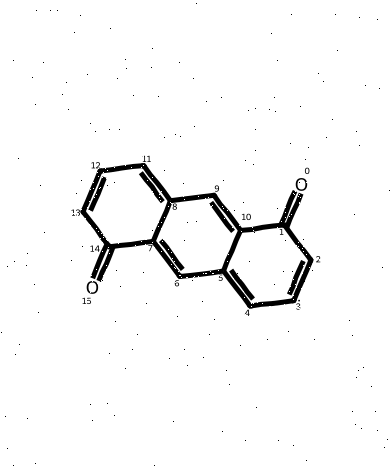 O=C1[C]=[C]C=c2cc3c(cc21)=CC=CC3=O